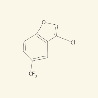 FC(F)(F)c1ccc2occ(Cl)c2c1